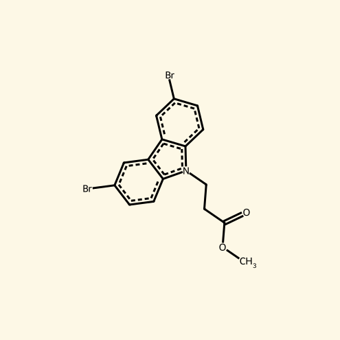 COC(=O)CCn1c2ccc(Br)cc2c2cc(Br)ccc21